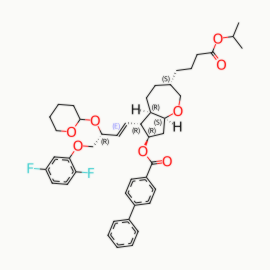 CC(C)OC(=O)CCC[C@H]1CC[C@@H]2[C@@H](/C=C/[C@H](COc3cc(F)ccc3F)OC3CCCCO3)[C@H](OC(=O)c3ccc(-c4ccccc4)cc3)C[C@@H]2OC1